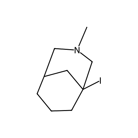 CN1CC2CCCC(I)(C2)C1